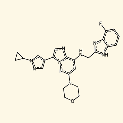 Fc1cccc2[nH]c(CNc3cc(N4CCOCC4)nn4c(-c5cnn(C6CC6)c5)cnc34)nc12